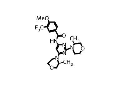 COc1ccc(C(=O)Nc2cc(N3CCOC[C@@H]3C)nc(N3CCOC[C@@H]3C)n2)cc1C(F)(F)F